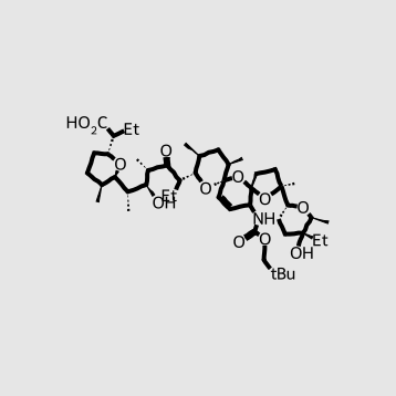 CCC(C(=O)[C@@H](C)[C@@H](O)[C@H](C)[C@@H]1O[C@@H](C(CC)C(=O)O)CC[C@@H]1C)[C@H]1O[C@]2(C=CC(NC(=O)OCC(C)(C)C)[C@]3(CC[C@@](C)([C@H]4CC[C@](O)(CC)[C@H](C)O4)O3)O2)[C@H](C)C[C@@H]1C